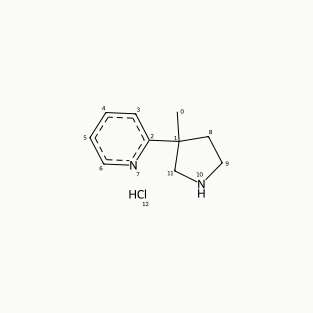 CC1(c2ccccn2)CCNC1.Cl